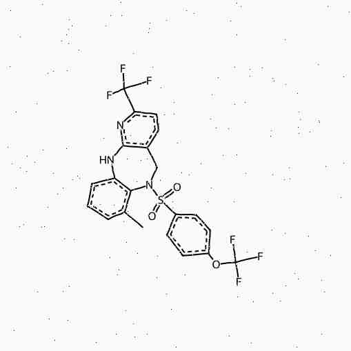 Cc1cccc2c1N(S(=O)(=O)c1ccc(OC(F)(F)F)cc1)Cc1ccc(C(F)(F)F)nc1N2